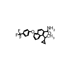 CC(c1c(C(N)=O)ccc2c(Oc3ccc(C(F)(F)F)cc3)cccc12)C1CC1